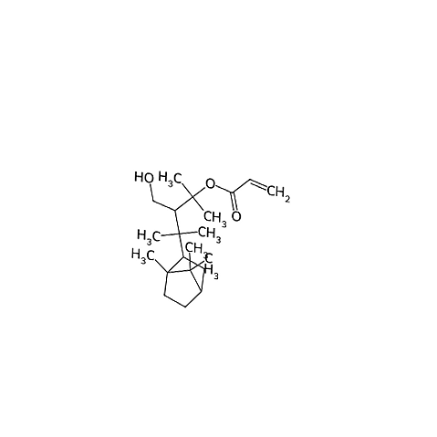 C=CC(=O)OC(C)(C)C(CO)C(C)(C)C1CC2CCC1(C)C2(C)C